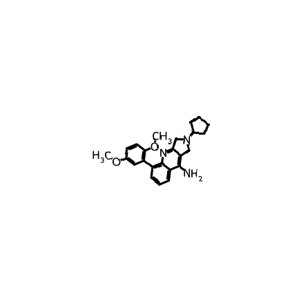 COc1ccc(OC)c(-c2cccc3c(N)c4c(nc23)CN(C2CCCC2)C4)c1